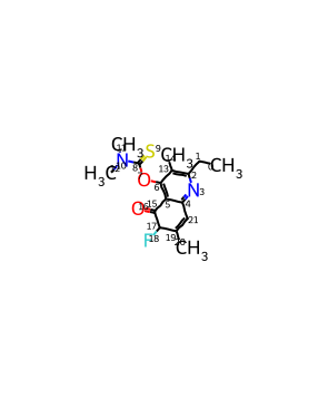 CCc1nc2c(c(OC(=S)N(C)C)c1C)C(=O)C(F)C(C)=C2